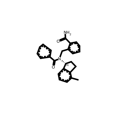 Cc1cccc2c1CC[C@H]2N(Cc1ccccc1C(N)=O)C(=O)c1ccccc1